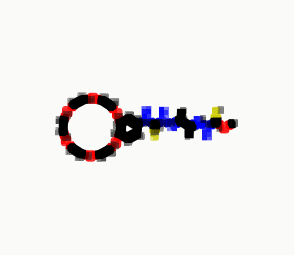 COC(=S)N/N=C(C)/C(C)=N/NC(=S)Nc1ccc2c(c1)OCCOCCOCCOCCOCCO2